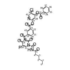 CCCCCC(=O)NC(=O)n1cc(F)c(=O)n(C(=O)c2cccc(C(=O)Oc3cc(OC(=O)c4ccccc4)c(Cl)cn3)c2)c1=O